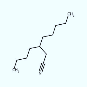 CCCCCC(CC#N)CCCC